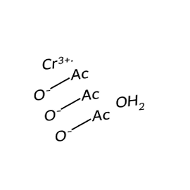 CC(=O)[O-].CC(=O)[O-].CC(=O)[O-].O.[Cr+3]